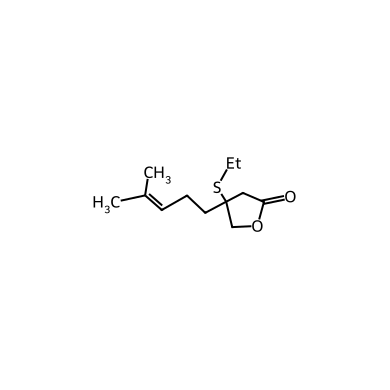 CCSC1(CCC=C(C)C)COC(=O)C1